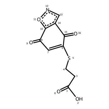 O=C(O)CCSC1=CC(=O)c2oncc2C1=O